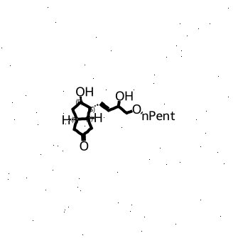 CCCCCOCC(O)C=C[C@@H]1[C@@H]2CC(=O)C[C@H]2C[C@H]1O